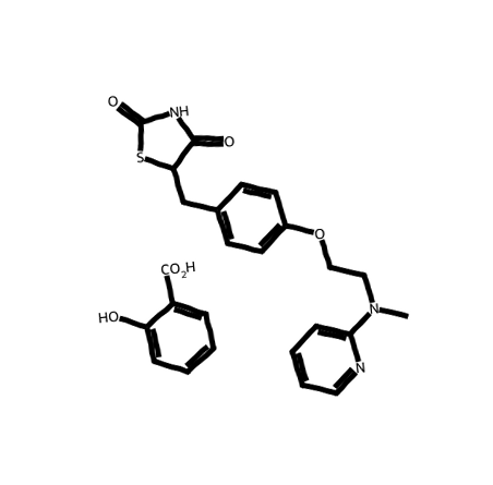 CN(CCOc1ccc(CC2SC(=O)NC2=O)cc1)c1ccccn1.O=C(O)c1ccccc1O